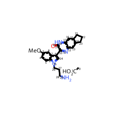 CC(=O)O.COc1ccc2c(c1)c(-c1nc3cc4c(cc3[nH]c1=O)CCC4)cn2CCCN